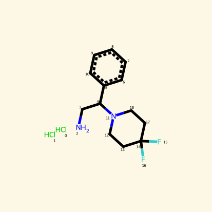 Cl.Cl.NCC(c1ccccc1)N1CCC(F)(F)CC1